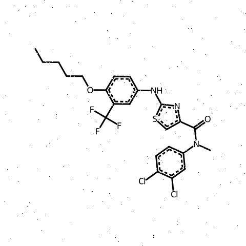 CCCCCOc1ccc(Nc2nc(C(=O)N(C)c3ccc(Cl)c(Cl)c3)cs2)cc1C(F)(F)F